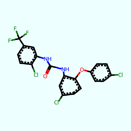 O=C(Nc1cc(C(F)(F)F)ccc1Cl)Nc1cc(Cl)ccc1Oc1ccc(Cl)cc1